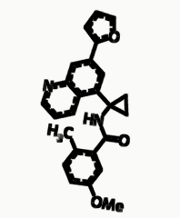 COc1ccc(C)c(C(=O)NC2(c3cc(-c4ccco4)cc4ncccc34)CC2)c1